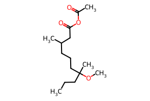 CCCC(C)(CCCC(C)CC(=O)OC(C)=O)OC